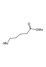 CC[CH]CCCCCC(=O)OC